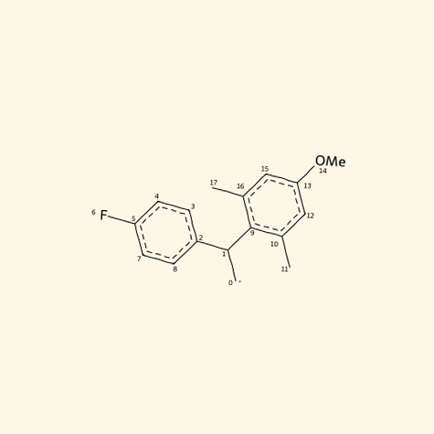 [CH2]C(c1ccc(F)cc1)c1c(C)cc(OC)cc1C